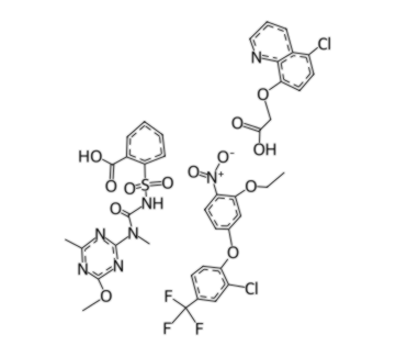 CCOc1cc(Oc2ccc(C(F)(F)F)cc2Cl)ccc1[N+](=O)[O-].COc1nc(C)nc(N(C)C(=O)NS(=O)(=O)c2ccccc2C(=O)O)n1.O=C(O)COc1ccc(Cl)c2cccnc12